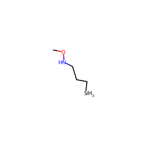 CONCCC[SiH3]